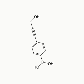 OCC#Cc1ccc(B(O)O)cc1